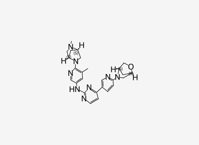 Cc1cc(Nc2nccc(-c3ccc(N4C[C@@H]5C[C@H]4CO5)nc3)n2)cnc1N1C[C@@H]2C[C@H]1CN2C